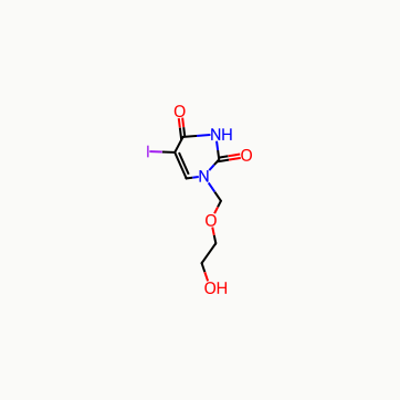 O=c1[nH]c(=O)n(COCCO)cc1I